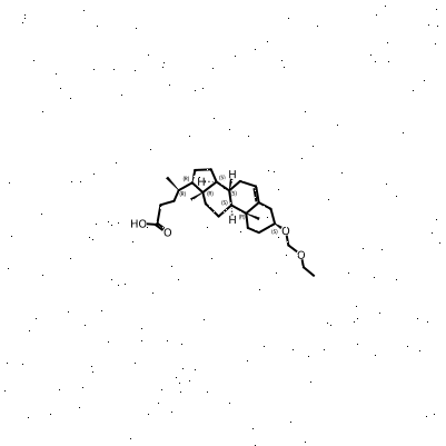 CCOCO[C@H]1CC[C@@]2(C)C(=CC[C@H]3[C@@H]4CC[C@H]([C@H](C)CCC(=O)O)[C@@]4(C)CC[C@@H]32)C1